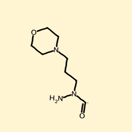 NN([C]=O)CCCN1CCOCC1